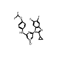 [O-][n+]1cc(Nc2ccc(OC(F)F)cc2)nc(-n2c(C3CC3)nc3cc(F)c(F)cc32)c1